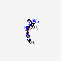 CC1CCN(C2CCN(C(=O)Cc3csc(NC(=O)c4nn(C5CCCCO5)c5c4C(C)(C)Cc4cnc(N)nc4-5)n3)CC2)CC1